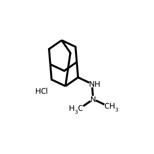 CN(C)NC1C2CC3CC(C2)CC1C3.Cl